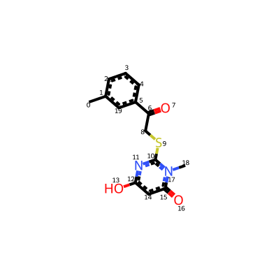 Cc1cccc(C(=O)CSc2nc(O)cc(=O)n2C)c1